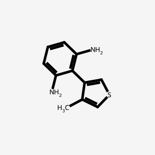 Cc1cscc1-c1c(N)cccc1N